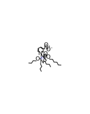 CCCCCCOP(=S)(/N=C(/OCCCC)N(CCCC)CCCC)Oc1ncccc1[N+](=O)[O-]